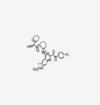 COc1ccc(NC(=O)c2nc(N[C@H]3CCCC[C@H]3NC(=N)N3CCCCO3)c3cc(C)ccc3n2)cc1.Cl.Cl